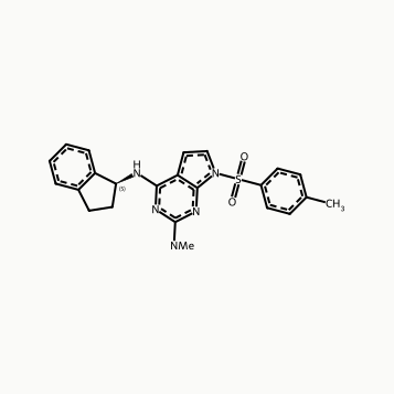 CNc1nc(N[C@H]2CCc3ccccc32)c2ccn(S(=O)(=O)c3ccc(C)cc3)c2n1